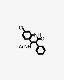 CC(=O)Nc1c(-c2ccccc2)c(=O)[nH]c2cc(Cl)ccc12